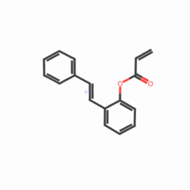 C=CC(=O)Oc1ccccc1/C=C/c1ccccc1